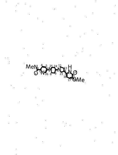 CNC(=O)c1ccc(N2CCC(N3CCC(c4ccc(OC)c(=O)[nH]4)C3)CC2)cn1